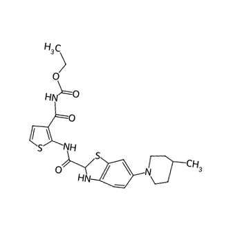 CCOC(=O)NC(=O)c1ccsc1NC(=O)C1Nc2ccc(N3CCC(C)CC3)cc2S1